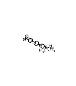 CC(C)(C)N1CCN(C2CCN(c3ccc([N+](=O)[O-])cc3)CC2)CC1